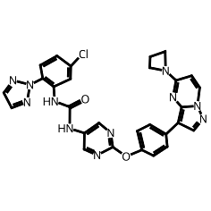 O=C(Nc1cnc(Oc2ccc(-c3cnn4ccc(N5CCC5)nc34)cc2)nc1)Nc1cc(Cl)ccc1-n1nccn1